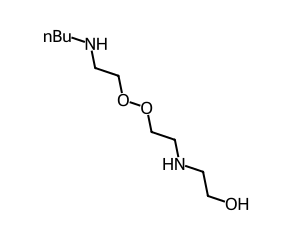 CCCCNCCOOCCNCCO